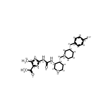 CC(=O)c1sc(NC(=O)N[C@H]2COCC[C@H]2CN2CCC[C@@H](Cc3ccc(F)cc3)C2)nc1C